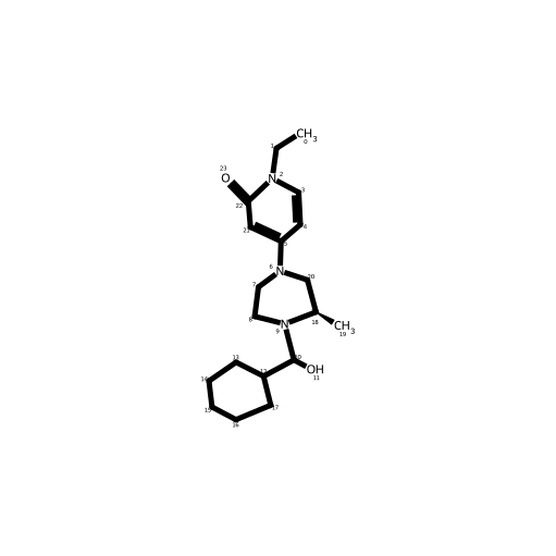 CCn1ccc(N2CCN(C(O)C3CCCCC3)[C@H](C)C2)cc1=O